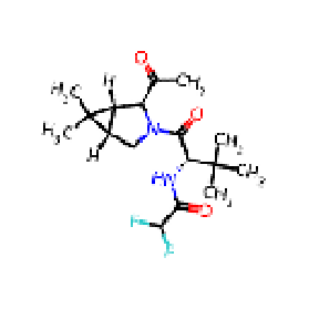 CC(=O)[C@@H]1[C@@H]2[C@H](CN1C(=O)[C@@H](NC(=O)C(F)F)C(C)(C)C)C2(C)C